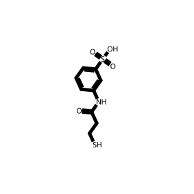 O=C(CCS)Nc1cccc(S(=O)(=O)O)c1